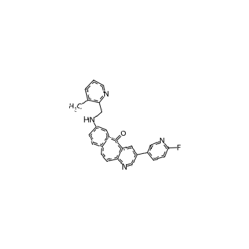 Cc1cccnc1CNc1ccc2ccc3ncc(-c4ccc(F)nc4)cc3c(=O)c2c1